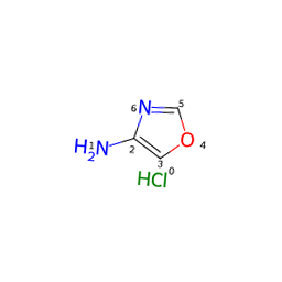 Cl.Nc1cocn1